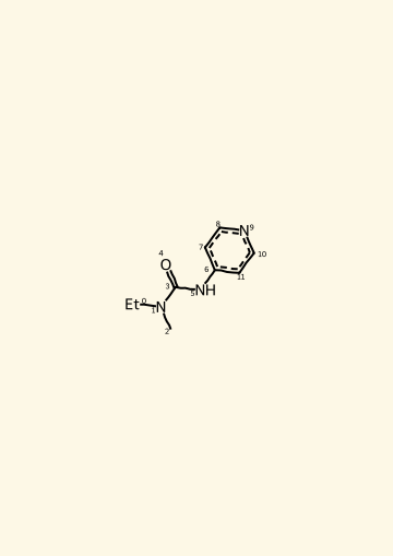 CCN(C)C(=O)Nc1ccncc1